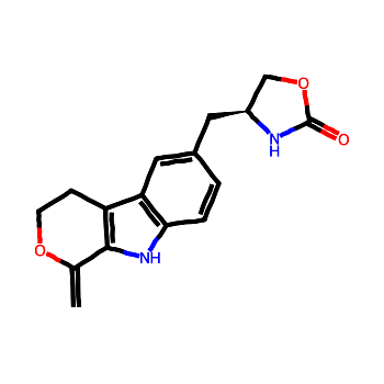 C=C1OCCc2c1[nH]c1ccc(C[C@H]3COC(=O)N3)cc21